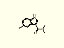 CN(C)C(=O)c1[c][nH]c2ccc(F)cc12